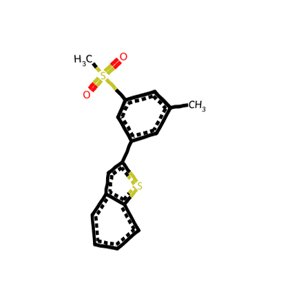 Cc1cc(-c2cc3ccccc3s2)cc(S(C)(=O)=O)c1